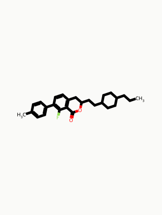 CCCC1CCC(CCC2Cc3ccc(-c4ccc(C)cc4)c(F)c3C(=O)O2)CC1